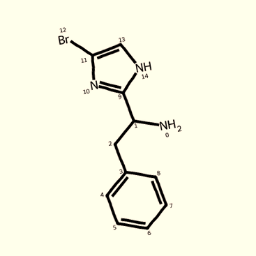 NC(Cc1ccccc1)c1nc(Br)c[nH]1